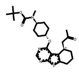 CC(=O)C[C@H]1CCCc2sc3ncnc(O[C@H]4CC[C@H](N(C)C(=O)OC(C)(C)C)CC4)c3c21